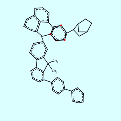 CC1(C)c2cc(N(c3ccc(C4CC5CCC4C5)cc3)c3cccc4cccc(C5CCCCC5)c34)ccc2-c2cccc(-c3ccc(-c4ccccc4)cc3)c21